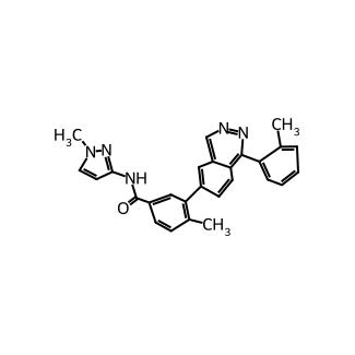 Cc1ccc(C(=O)Nc2ccn(C)n2)cc1-c1ccc2c(-c3ccccc3C)nncc2c1